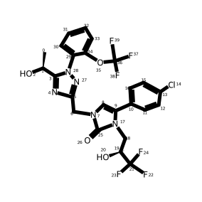 C[C@H](O)c1nc(Cn2cc(-c3ccc(Cl)cc3)n(C[C@H](O)C(F)(F)F)c2=O)nn1-c1ccccc1OC(F)(F)F